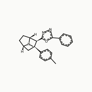 Cc1ccc([C@H]2C[C@@H]3CC[C@H]([C@H]2c2nnc(-c4ccccc4)o2)N3C)cc1